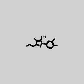 CCCc1nn(-c2ccc(C)c(C)c2)c(O)c1C